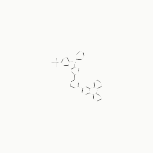 CC(C)(C)c1ccc2c(c1)c1cc(-c3cccc(-c4ccc5c6ccccc6c6ccccc6c5c4)c3)ccc1n2-c1ccccc1